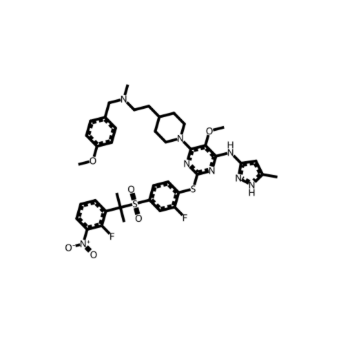 COc1ccc(CN(C)CCC2CCN(c3nc(Sc4ccc(S(=O)(=O)C(C)(C)c5cccc([N+](=O)[O-])c5F)cc4F)nc(Nc4cc(C)[nH]n4)c3OC)CC2)cc1